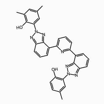 Cc1ccc(O)c(-n2nc3cccc(-c4cccc(-c5cccc6nn(-c7cc(C)cc(C)c7O)nc56)n4)c3n2)c1